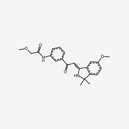 COCC(=O)Nc1cccc(C(=O)/C=C2\NC(C)(C)c3ccc(OC)cc32)c1